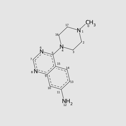 CN1CCN(c2ncnc3cc(N)ccc23)CC1